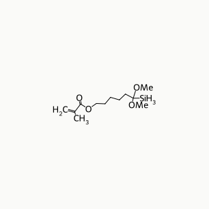 C=C(C)C(=O)OCCCCCC([SiH3])(OC)OC